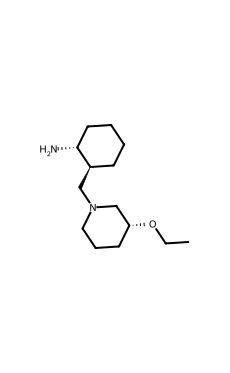 CCO[C@@H]1CCCN(C[C@@H]2CCCC[C@H]2N)C1